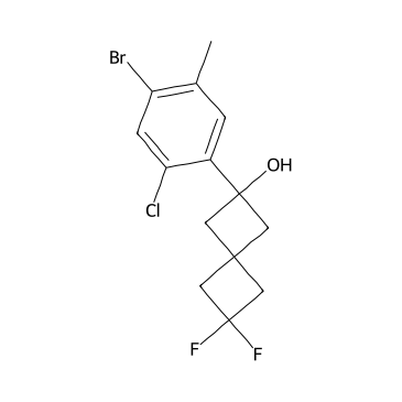 Cc1cc(C2(O)CC3(CC(F)(F)C3)C2)c(Cl)cc1Br